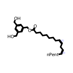 CCCCC/C=C\C/C=C\CCCCCCCC(=O)OCc1cc(CO)cc(CO)c1